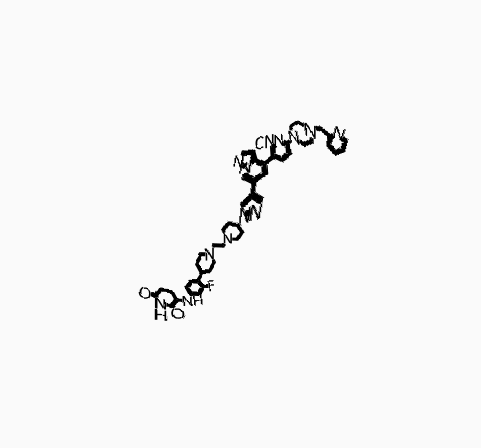 N#Cc1cnn2cc(-c3cnn(C4CCN(CCN5CCC(c6ccc(NC7CCC(=O)NC7=O)cc6F)CC5)CC4)c3)cc(-c3ccc(N4CCN(Cc5ccccn5)CC4)nc3)c12